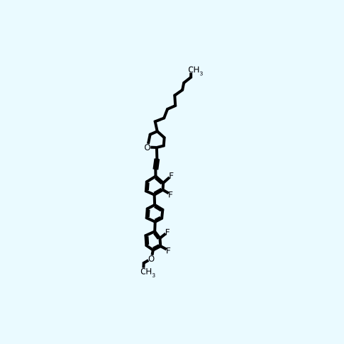 CCCCCCCCCC1CCC(C#Cc2ccc(-c3ccc(-c4ccc(OCC)c(F)c4F)cc3)c(F)c2F)OC1